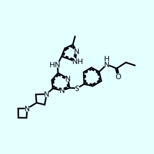 CCC(=O)Nc1ccc(Sc2nc(Nc3cc(C)n[nH]3)cc(N3CC(N4CCC4)C3)n2)cc1